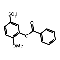 COc1ccc(S(=O)(=O)O)cc1OC(=O)c1ccccc1